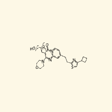 C/C(=C\c1c(N2CCOCC2)nc2cc(CCc3nc(C4CCC4)cs3)ccn2c1=O)C(=O)O